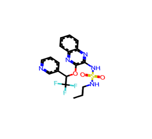 CCCNS(=O)(=O)Nc1nc2ccccc2nc1OC(c1cccnc1)C(F)(F)F